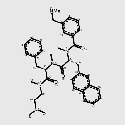 CNCc1cccc(C(=O)N(C)[C@H](Cc2ccc3ccccc3c2)C(=O)N(C)[C@H](Cc2ccccc2)C(=O)N(C)CCN(C)C)c1